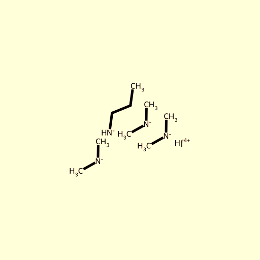 CCC[NH-].C[N-]C.C[N-]C.C[N-]C.[Hf+4]